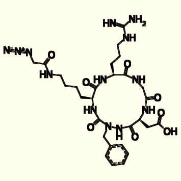 [N-]=[N+]=NCC(=O)NCCCC[C@@H]1NC(=O)N(Cc2ccccc2)NC(=O)[C@H](CC(=O)O)NC(=O)CNC(=O)[C@H](CCCNC(=N)N)NC1=O